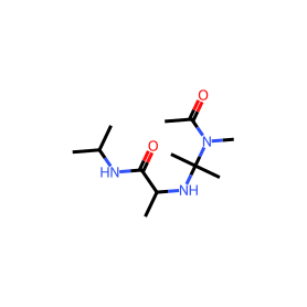 CC(=O)N(C)C(C)(C)NC(C)C(=O)NC(C)C